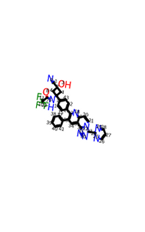 N#CC1(O)CC(NC(=O)C(F)(F)F)(c2ccc(-c3nc4ccn5c(-c6ncccn6)nnc5c4cc3-c3ccccc3)cc2)C1